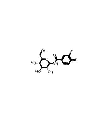 O=C(NC1O[C@H](CO)[C@@H](O)[C@H](O)[C@H]1O)c1ccc(F)c(F)c1